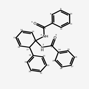 O=C(NC1(NC(=O)c2ccccc2)C=CC=CC1c1ccccc1)c1ccccc1